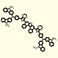 Cn1c2ccccc2c2cc(N(c3ccc(-c4sc(-c5cc6oc7cc(-c8sc(-c9ccc(N(c%10ccc%11c(c%10)c%10ccccc%10n%11C)c%10ccc%11c(c%10)c%10ccccc%10n%11C)cc9)c9c8OCCO9)c8ccccc8c7c6c6ccccc56)c5c4OCCO5)cc3)c3ccc4c(c3)c3ccccc3n4C)ccc21